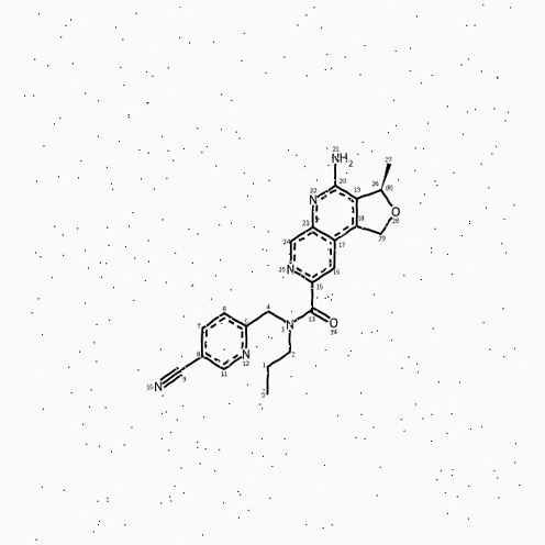 CCCN(Cc1ccc(C#N)cn1)C(=O)c1cc2c3c(c(N)nc2cn1)[C@@H](C)OC3